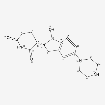 O=C1CC[C@H](N2Cc3cc(N4CCNCC4)ccc3C2O)C(=O)N1